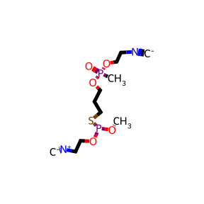 [C-]#[N+]CCOP(OC)SCCCOP(C)(=O)OCC[N+]#[C-]